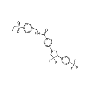 CCS(=O)(=O)c1ccc(CNC(=O)c2ccc(N3CC(c4ccc(C(F)(F)F)cc4)C(F)(F)C3)cc2)cc1